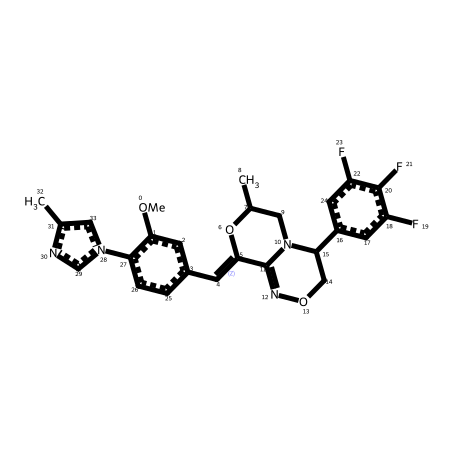 COc1cc(/C=C2\OC(C)CN3C2=NOCC3c2cc(F)c(F)c(F)c2)ccc1-n1cnc(C)c1